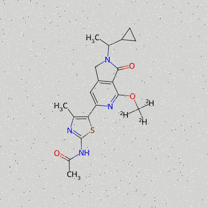 [2H]C([2H])([2H])Oc1nc(-c2sc(NC(C)=O)nc2C)cc2c1C(=O)N(C(C)C1CC1)C2